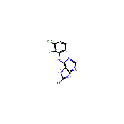 CCc1nc2ncnc(Nc3cccc(Cl)c3Cl)c2[nH]1